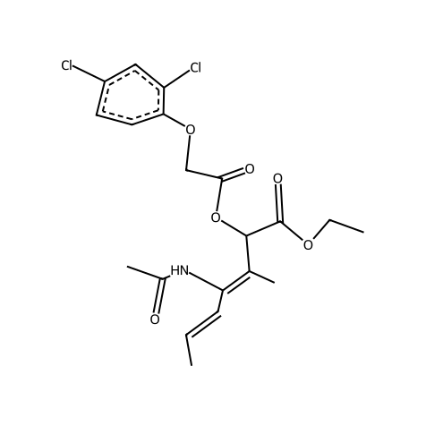 CC=CC(NC(C)=O)=C(C)C(OC(=O)COc1ccc(Cl)cc1Cl)C(=O)OCC